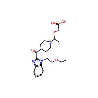 CCOCCn1c(C(=O)C2CCN(C(C)OCC(=O)O)CC2)nc2ccccc21